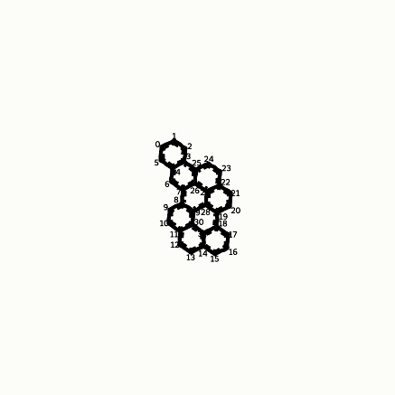 c1ccc2c(c1)cc1c3ccc4ccc5cccc6c7ccc8ccc2c1c8c7c3c4c56